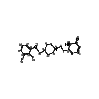 O=c1cncc(CCN2CCC(COc3cccc(F)c3F)CC2)[nH]1